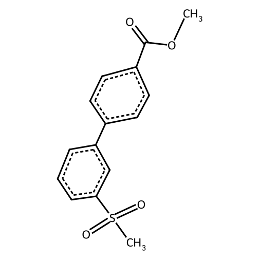 COC(=O)c1ccc(-c2cccc(S(C)(=O)=O)c2)cc1